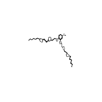 CCCCCCOCCOCCOc1ccc(SC)cc1OCCOCCOCCCCCC